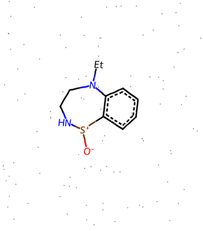 CCN1CCN[S+]([O-])c2ccccc21